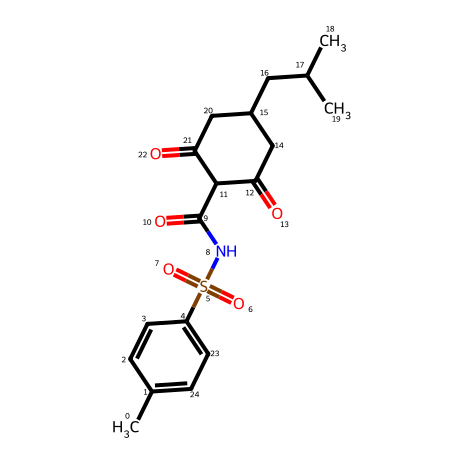 Cc1ccc(S(=O)(=O)NC(=O)C2C(=O)CC(CC(C)C)CC2=O)cc1